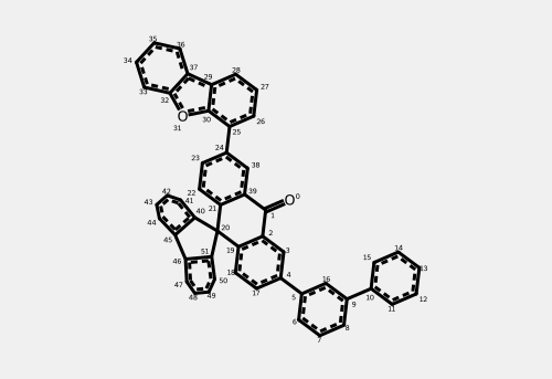 O=C1c2cc(-c3cccc(-c4ccccc4)c3)ccc2C2(c3ccc(-c4cccc5c4oc4ccccc45)cc31)c1ccccc1-c1ccccc12